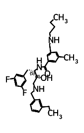 CCCCNCc1cc(C)cc(C(=O)N[C@@H](Cc2cc(F)cc(F)c2)[C@H](O)CNCc2cccc(CC)c2)c1